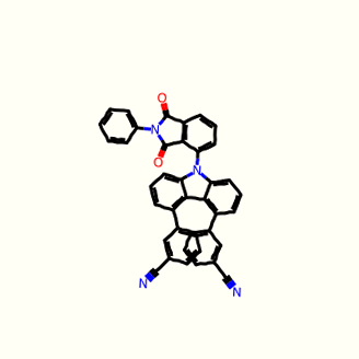 N#Cc1cccc(-c2cccc3c2c2c(-c4cccc(C#N)c4)cccc2n3-c2cccc3c2C(=O)N(c2ccccc2)C3=O)c1